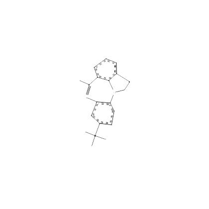 CC1=Nc2cc(C(F)(F)F)ccc2N2CCc3cccc1c32